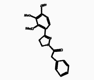 COc1ccc(C2=NN(C(=O)Cc3ccccc3)CC2)c(OC)c1OC